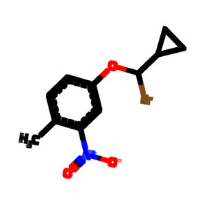 Cc1ccc(OC(Br)C2CC2)cc1[N+](=O)[O-]